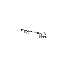 Cc1cc(C(C)(C)CCCCCCCCCC(N)C(C)C)cc(C(C)C)c1N